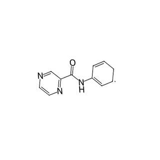 O=C(NC1=C[CH]CC=C1)c1cnccn1